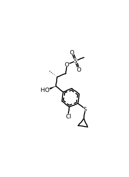 C[C@H](COS(C)(=O)=O)[C@H](O)c1ccc(SC2CC2)c(Cl)c1